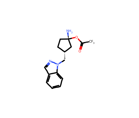 N[C@]1(OC(=O)C(F)(F)F)CC[C@@H](Cn2ncc3ccccc32)C1